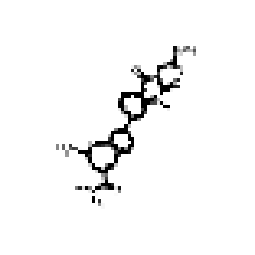 CCCN(CCC)C(=O)C1=Cc2ccc(-c3ccc4c(=O)n(CC(=O)NC)c(=O)n(C)c4c3)cc2N=C(N)C1